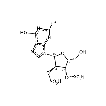 O=S(=O)(O)O[C@@H]1[C@H](OS(=O)(=O)O)[C@@H](CO)O[C@H]1n1cnc2c(O)nc(O)nc21